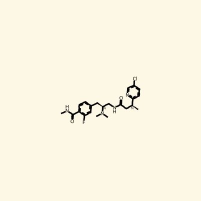 CNC(=O)c1ccc(C[C@@H](CNC(=O)C[C@H](C)c2ccc(Cl)cn2)N(C)C)cc1F